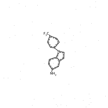 Nc1ccc2c(ccn2-c2ccc(C(F)(F)F)cc2)c1